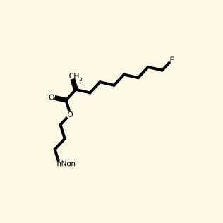 C=C(CCCCCCCF)C(=O)OCCCCCCCCCCCC